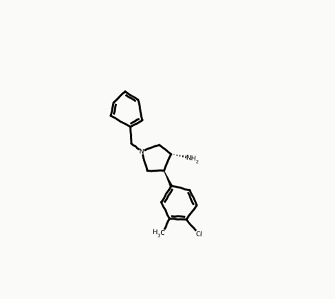 Cc1cc([C@H]2CN(Cc3ccccc3)C[C@@H]2N)ccc1Cl